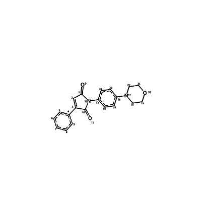 O=C1C=C(c2ccccc2)C(=O)N1c1ccc(N2CCOCC2)cc1